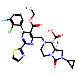 CCOC(=O)C1=C(CN2CCN3C(=O)N(C4CC4)C[C@@H]3[C@H]2C(=O)O)NC(c2nccs2)=N[C@H]1c1cccc(F)c1Cl